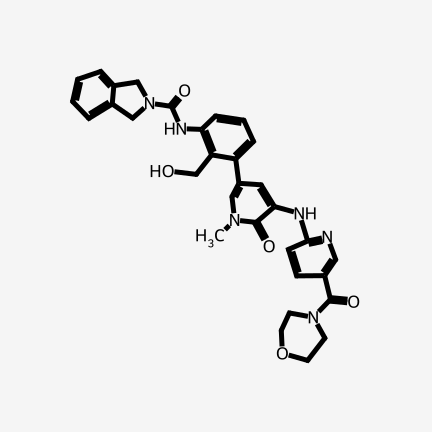 Cn1cc(-c2cccc(NC(=O)N3Cc4ccccc4C3)c2CO)cc(Nc2ccc(C(=O)N3CCOCC3)cn2)c1=O